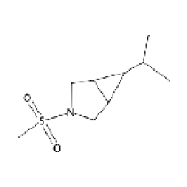 CC(C)C1C2CN(S(C)(=O)=O)CC21